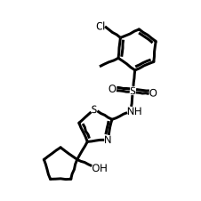 Cc1c(Cl)cccc1S(=O)(=O)Nc1nc(C2(O)CCCC2)cs1